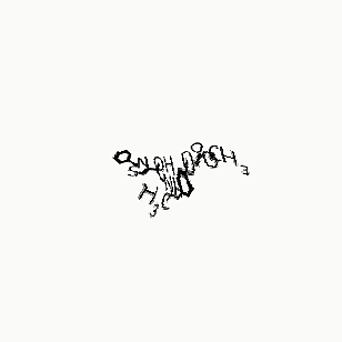 COC(=O)COc1ccc(CC(C)NCC(O)c2csc(-c3ccccc3)n2)cc1